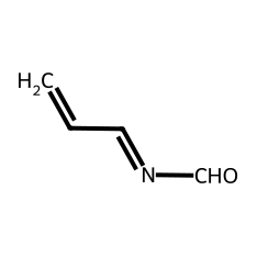 C=CC=NC=O